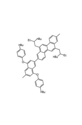 CCCCc1ccc(Oc2cc(-c3ccc4c(c3)c(CC(CC)CCCC)cc3c5ccc(C)cc5c(CC(CC)CCCC)cc43)cc3c(Oc4ccc(CCCC)cc4)cc(C)cc23)cc1